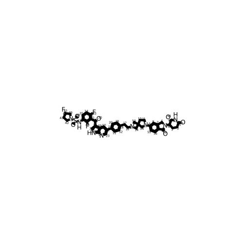 O=C1CCC(N2Cc3cc(N4CCC5(CN(CCc6ccc(-c7cnc8[nH]cc(C(=O)c9c(F)ccc(NS(=O)(=O)N%10CC[C@@H](F)C%10)c9F)c8c7)cc6)C5)C4)ccc3C2=O)C(=O)N1